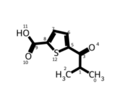 CC(C)C(=O)c1ccc(C(=O)O)s1